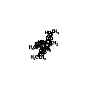 COC(=O)[C@@]12C[C@@H](OC(=O)C=C(C)C)C(=O)O[C@@H]3C[C@H]4C(C)=C(OC(=O)CC(C)O)C(=O)C[C@]4(C)C(C3[C@@H](C)CO1)[C@@H](O)[C@@H]2O